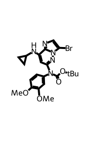 COc1ccc(N(C(=O)OC(C)(C)C)c2cc(NC3CC3)c3ncc(Br)n3n2)cc1OC